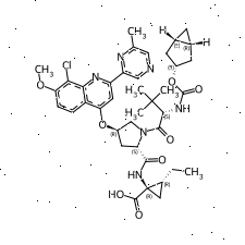 CC[C@@H]1C[C@]1(NC(=O)[C@@H]1C[C@@H](Oc2cc(-c3cncc(C)n3)nc3c(Cl)c(OC)ccc23)CN1C(=O)[C@@H](NC(=O)O[C@@H]1C[C@@H]2C[C@@H]2C1)C(C)(C)C)C(=O)O